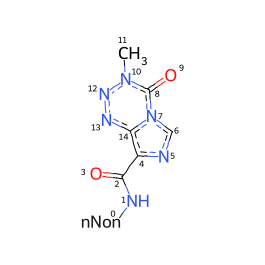 CCCCCCCCCNC(=O)c1ncn2c(=O)n(C)nnc12